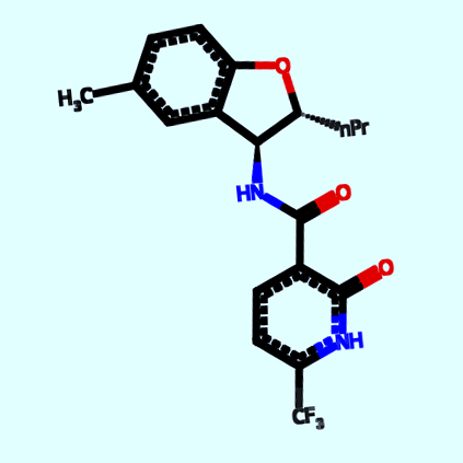 CCC[C@H]1Oc2ccc(C)cc2[C@@H]1NC(=O)c1ccc(C(F)(F)F)[nH]c1=O